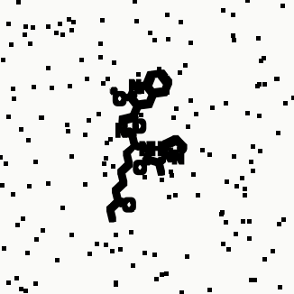 CCC(=O)CCCCC[C@H](NC(=O)C(C)n1cccn1)c1ncc(-c2cc3ccccc3nc2OC)o1